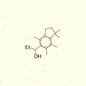 CCC(O)c1c(C)c(C)c2c(c1C)CCC2(C)C